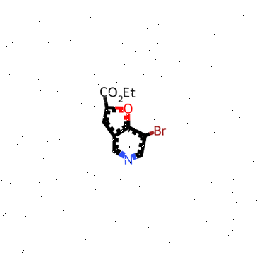 CCOC(=O)c1cc2cncc(Br)c2o1